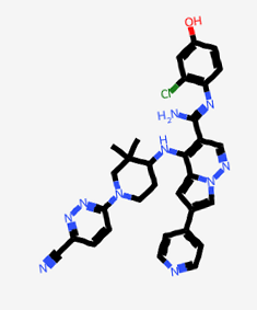 CC1(C)CN(c2ccc(C#N)nn2)CCC1Nc1c(/C(N)=N/c2ccc(O)cc2Cl)cnn2cc(-c3ccncc3)cc12